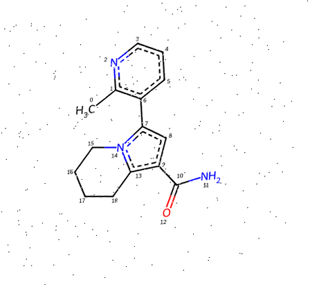 Cc1ncccc1-c1cc(C(N)=O)c2n1CCCC2